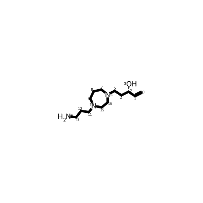 C=C[C@@H](O)CCN1CCCN(CCCN)CC1